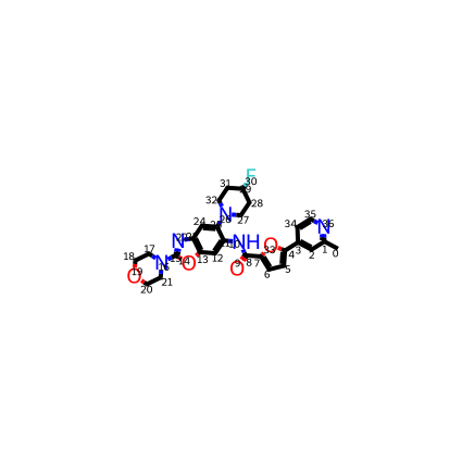 Cc1cc(-c2ccc(C(=O)Nc3cc4oc(N5CCOCC5)nc4cc3N3CCC(F)CC3)o2)ccn1